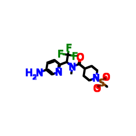 CN(C(=O)C1CCN(S(C)(=O)=O)CC1)[C@@H](c1ccc(N)cn1)C(F)(F)F